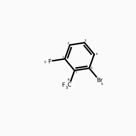 Fc1cc[c]c(Br)c1C(F)(F)F